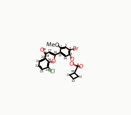 COc1cc(Br)c(OOC(=O)C2CCC2)cc1-c1cc(=O)c2cccc(Cl)c2o1